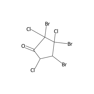 O=C1C(Cl)C(Br)C(Cl)(Br)C1(Cl)Br